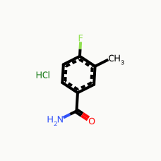 Cc1cc(C(N)=O)ccc1F.Cl